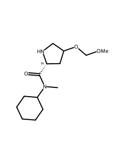 COCOC1CN[C@@H](C(=O)N(C)C2CCCCC2)C1